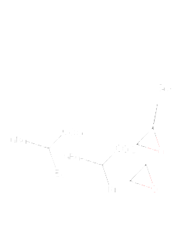 C1CO1.CC1CO1.CCCCC(CC)C(=O)[O-].CCCCC(CC)C(=O)[O-].[Sn+2]